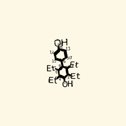 CCc1c(O)c(CC)c(CC)c(-c2ccc(O)cc2)c1CC